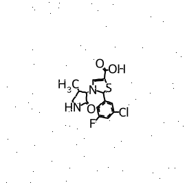 C[C@@H]1CNC(=O)[C@H]1N1C=C(C(=O)O)SC1c1cc(F)cc(Cl)c1